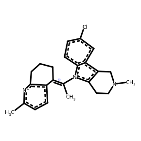 C/C(=C1/CCCc2nc(C)ccc21)n1c2c(c3cc(Cl)ccc31)CN(C)CC2